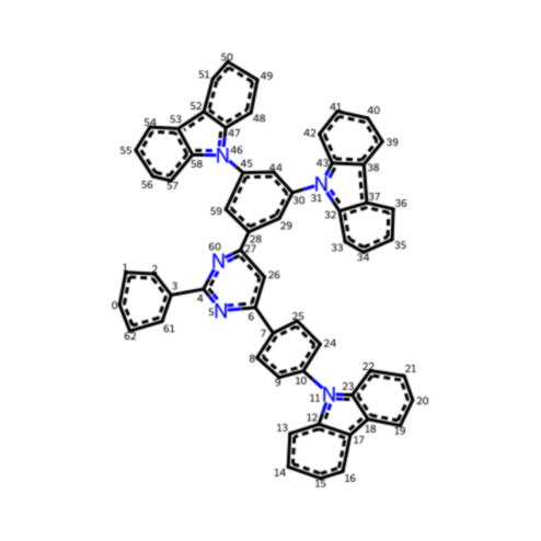 c1ccc(-c2nc(-c3ccc(-n4c5ccccc5c5ccccc54)cc3)cc(-c3cc(-n4c5ccccc5c5ccccc54)cc(-n4c5ccccc5c5ccccc54)c3)n2)cc1